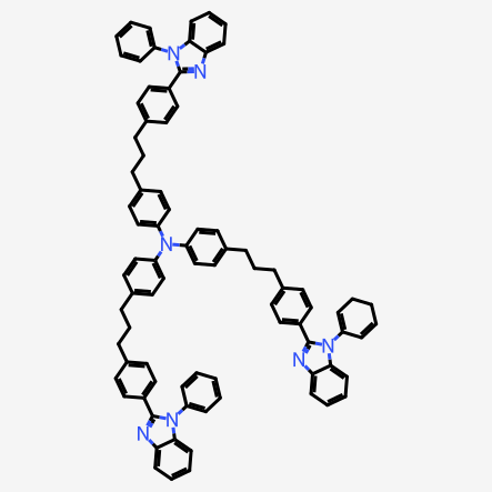 C1=CC(n2c(-c3ccc(CCCc4ccc(N(c5ccc(CCCc6ccc(-c7nc8ccccc8n7-c7ccccc7)cc6)cc5)c5ccc(CCCc6ccc(-c7nc8ccccc8n7-c7ccccc7)cc6)cc5)cc4)cc3)nc3ccccc32)=CCC1